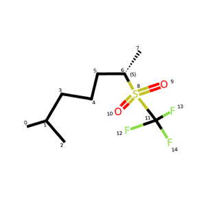 CC(C)CCC[C@H](C)S(=O)(=O)C(F)(F)F